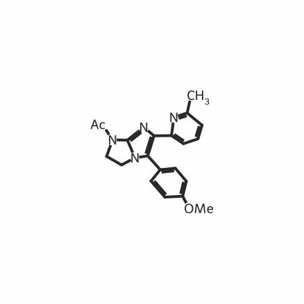 COc1ccc(-c2c(-c3cccc(C)n3)nc3n2CCN3C(C)=O)cc1